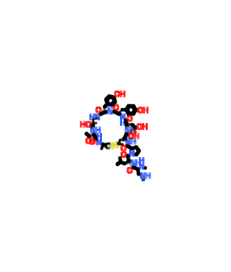 CNCC(NC)C(=O)N[C@@H](CC(C)C)C(=O)N1CCCC1C(=O)N[C@H]1CSSC[C@@H](C)NC(=O)[C@H](C(C)O)N[C@H](O)CNC(=O)[C@H](Cc2ccc(O)cc2)NC(=O)[C@H](Cc2ccc(O)cc2)NC(=O)[C@H](CC(=O)O)N[C@@H]1O